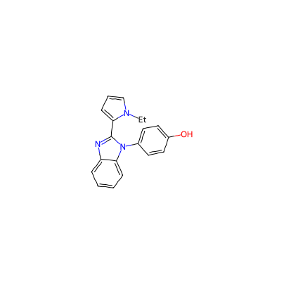 CCn1cccc1-c1nc2ccccc2n1-c1ccc(O)cc1